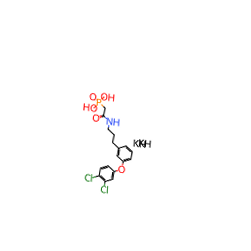 O=C(CP(=O)(O)O)NCCCc1cccc(Oc2ccc(Cl)c(Cl)c2)c1.[KH].[KH]